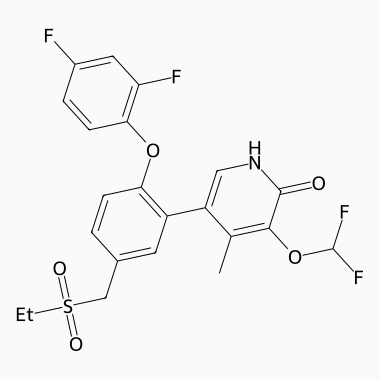 CCS(=O)(=O)Cc1ccc(Oc2ccc(F)cc2F)c(-c2c[nH]c(=O)c(OC(F)F)c2C)c1